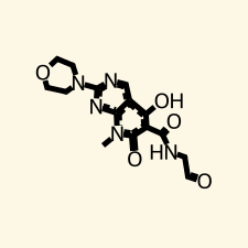 Cn1c(=O)c(C(=O)NCC=O)c(O)c2cnc(N3CCOCC3)nc21